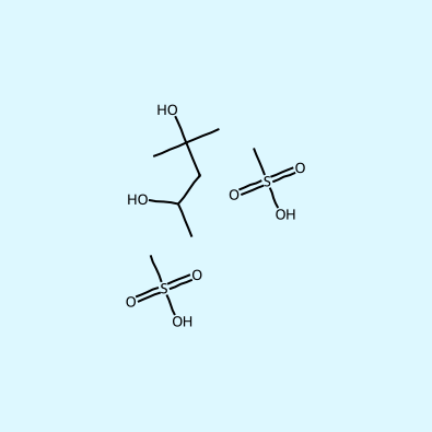 CC(O)CC(C)(C)O.CS(=O)(=O)O.CS(=O)(=O)O